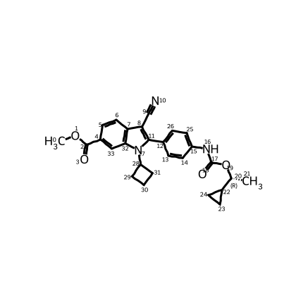 COC(=O)c1ccc2c(C#N)c(-c3ccc(NC(=O)O[C@H](C)C4CC4)cc3)n(C3CCC3)c2c1